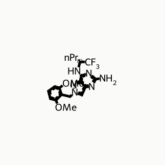 CCC[C@H](Nc1nc(N)nc2cn(Cc3c(OC)cccc3OC)nc12)C(F)(F)F